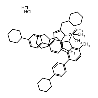 Cc1ccc(-c2ccc(C3CCCCC3)cc2)c2c1[CH]([Zr]([CH3])([CH3])(=[SiH2])[CH]1C(CC3CCCCC3)=Cc3c(-c4ccc(C5CCCCC5)cc4)ccc(C)c31)C(CC1CCCCC1)=C2.Cl.Cl